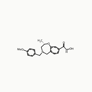 COc1ccc(CN2Cc3ccc(C(=O)NO)cc3O[C@@H](C)C2)cc1